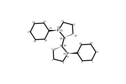 C1CCC([P@@]2CCC[C@@H]2[C@H]2CCC[P@]2C2CCCCC2)CC1